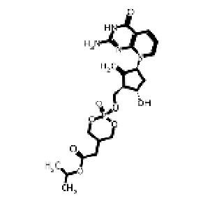 C=C1[C@H](COP2(=O)OCC(CC(=O)OC(C)C)CO2)[C@@H](O)C[C@@H]1N1C=C=Cc2c1nc(N)[nH]c2=O